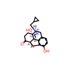 O=C1CC[C@@]2(O)[C@H]3Cc4ccc(O)c5c4[C@@]2(CCN3CC2CC2)[C@H]1C5